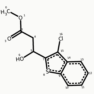 COC(=O)CC(O)c1sc2ccccc2c1Cl